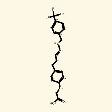 O=C(O)COc1ccc(CCC=NOCc2ccc(C(F)(F)F)cc2)cc1